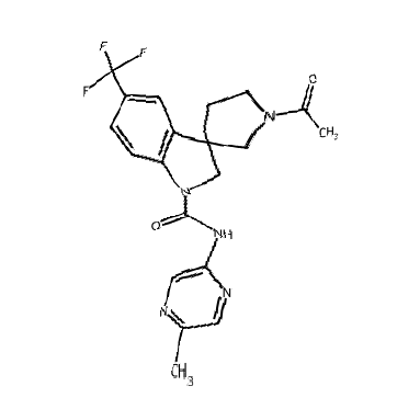 CC(=O)N1CCC2(C1)CN(C(=O)Nc1cnc(C)cn1)c1ccc(C(F)(F)F)cc12